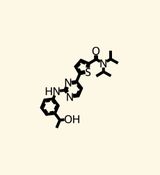 CC(O)c1cccc(Nc2nccc(-c3ccc(C(=O)N(C(C)C)C(C)C)s3)n2)c1